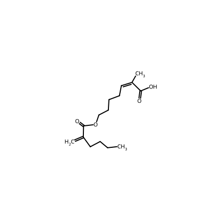 C=C(CCCC)C(=O)OCCCCC=C(C)C(=O)O